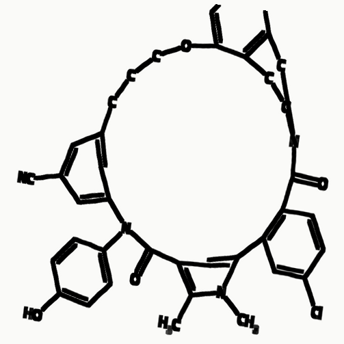 Cc1c2cc(n1C)-c1cc(Cl)ccc1C(=O)N1CCc3c(cccc3OCCCc3cc(C#N)cc(c3)N(c3ccc(O)cc3)C2=O)C1